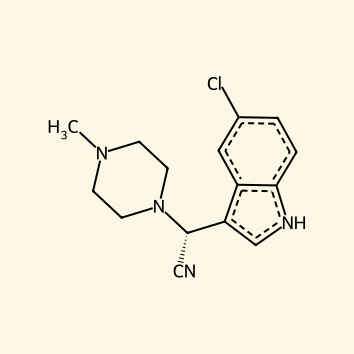 CN1CCN([C@@H](C#N)c2c[nH]c3ccc(Cl)cc23)CC1